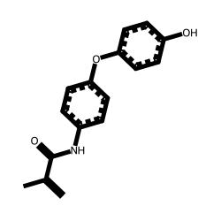 C=C(C)C(=O)Nc1ccc(Oc2ccc(O)cc2)cc1